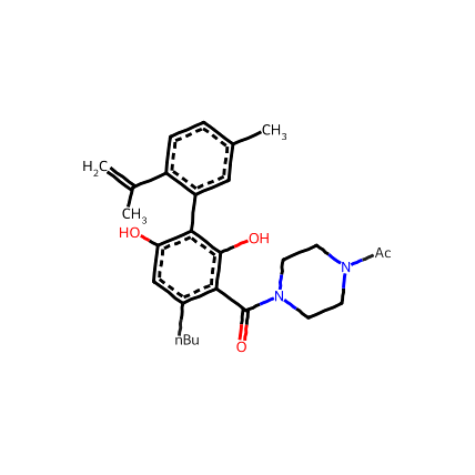 C=C(C)c1ccc(C)cc1-c1c(O)cc(CCCC)c(C(=O)N2CCN(C(C)=O)CC2)c1O